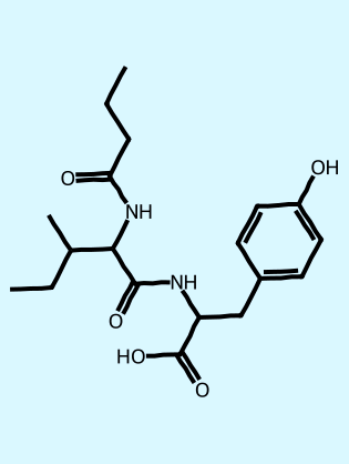 CCCC(=O)NC(C(=O)NC(Cc1ccc(O)cc1)C(=O)O)C(C)CC